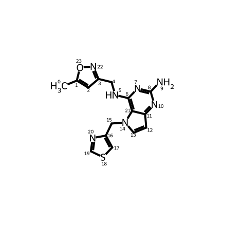 Cc1cc(CNc2nc(N)nc3ccn(Cc4cscn4)c23)no1